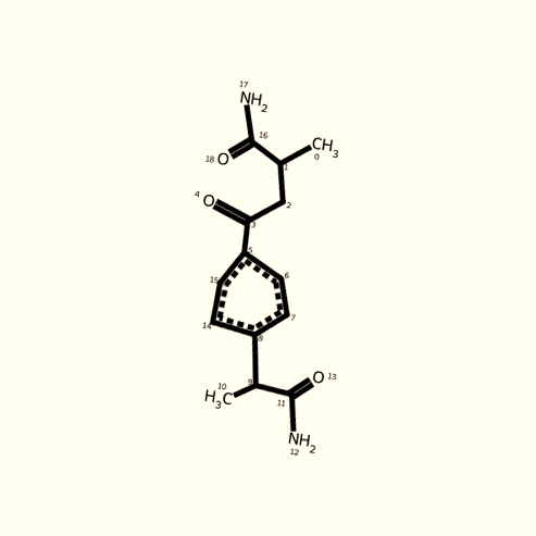 CC(CC(=O)c1ccc(C(C)C(N)=O)cc1)C(N)=O